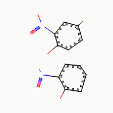 O=[N+]([O-])c1cc(Br)ccc1O.O=[N+]([O-])c1ccccc1O